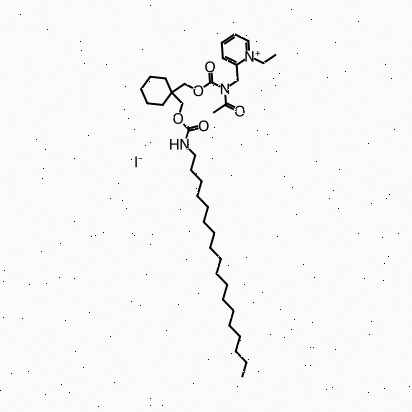 CCCCCCCCCCCCCCCCCCNC(=O)OCC1(COC(=O)N(Cc2cccc[n+]2CC)C(C)=O)CCCCC1.[I-]